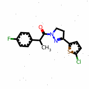 CC(C(=O)N1CCC(c2ccc(Cl)s2)=N1)c1ccc(F)cc1